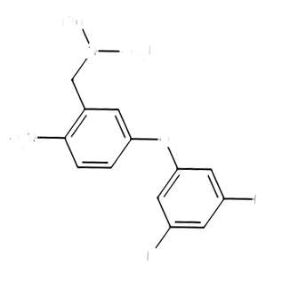 CC(C)(C)N(Cc1cc(Oc2cc(F)cc(F)c2)ccc1[N+](=O)[O-])C(=O)O